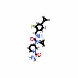 CNC(=O)N1CCC[C@@H](N(C(=O)NCc2ccc(C3CC3)cc2F)C2CC2)C1